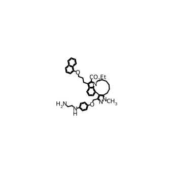 CCOC(=O)c1c(CCCOc2cccc3ccccc23)c2cccc3c2n1CCCCCCc1c-3c(COc2ccc(NCCN)cc2)nn1C